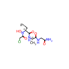 CC(C)C[C@@H](C(=O)N[C@@H](C)C(=O)NCC(N)=O)N(O)C(=O)CCl